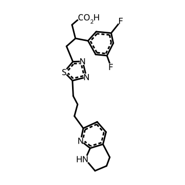 O=C(O)CC(Cc1nnc(CCCc2ccc3c(n2)NCCC3)s1)c1cc(F)cc(F)c1